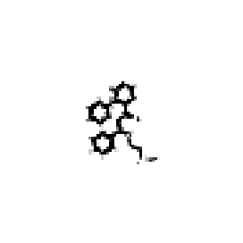 CCCCCCCCCCCCSC(CC(=O)c1ccccc1-c1ccccc1)c1ccccc1